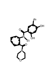 CCN(C(=O)c1cc(C(C)C)c(O)cc1O)c1ccccc1C(=O)N1CCOCC1